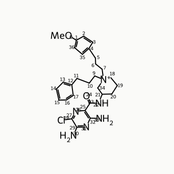 COc1ccc(CCC[N+]2(CCCc3ccccc3)CCCC(NC(=O)c3nc(Cl)c(N)nc3N)C2)cc1